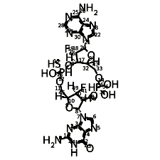 Nc1nc2c(ncn2[C@@H]2O[C@@H]3CO[PH](O)(S)O[C@H]4[C@H](F)[C@H](n5cnc6c(N)ncnc65)O[C@@H]4CO[PH](O)(O)O[C@@H]2[C@@H]3F)c(=O)[nH]1